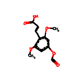 COc1cc(OC=O)cc(OC)c1C=CC(=O)O